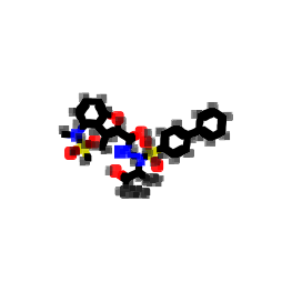 COC(=O)C(C(C)C)N(NC(=O)c1oc2cccc(N(C)S(C)(=O)=O)c2c1C)S(=O)(=O)c1ccc(-c2ccccc2)cc1